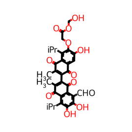 CC1=C(C2=C(C)C(=O)c3c(c(C=O)c(O)c(O)c3C(C)C)C2=O)C(=O)c2cc(O)c(OCC(=O)OCO)c(C(C)C)c2C1=O